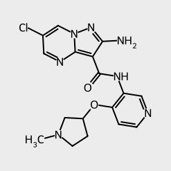 CN1CCC(Oc2ccncc2NC(=O)c2c(N)nn3cc(Cl)cnc23)C1